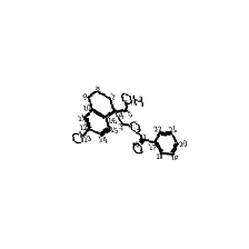 O=C(OC[C@]1(CO)CCCc2cc(Cl)ccc21)c1ccccc1